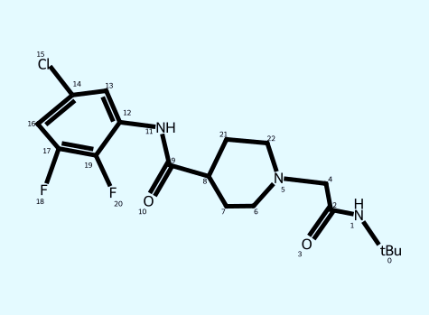 CC(C)(C)NC(=O)CN1CCC(C(=O)Nc2cc(Cl)cc(F)c2F)CC1